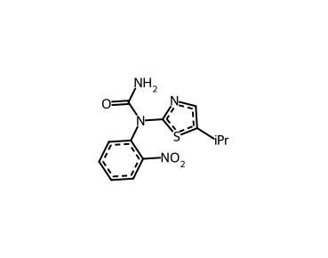 CC(C)c1cnc(N(C(N)=O)c2ccccc2[N+](=O)[O-])s1